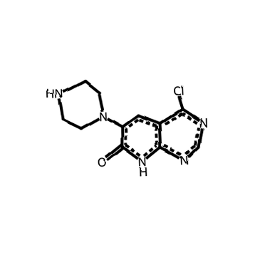 O=c1[nH]c2ncnc(Cl)c2cc1N1CCNCC1